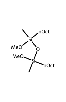 CCCCCCCC[Si](C)(OC)O[Si](C)(CCCCCCCC)OC